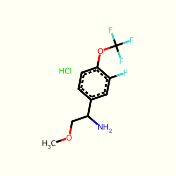 COCC(N)c1ccc(OC(F)(F)F)c(F)c1.Cl